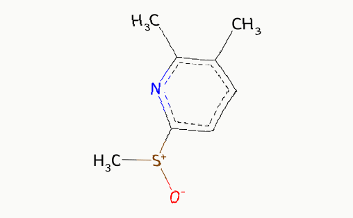 Cc1ccc([S+](C)[O-])nc1C